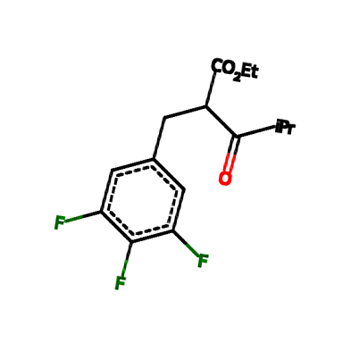 CCOC(=O)C(Cc1cc(F)c(F)c(F)c1)C(=O)C(C)C